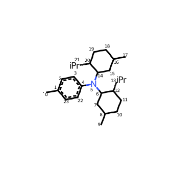 [CH2]c1ccc(N(C2CC(C)CCC2C(C)C)C2CC(C)CCC2C(C)C)cc1